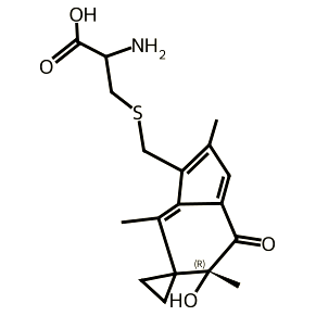 CC1=C(CSCC(N)C(=O)O)C2=C(C)C3(CC3)[C@@](C)(O)C(=O)C2=C1